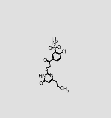 CCCc1cc(=O)[nH]c(SCC(=O)c2ccc(Cl)c(S(N)(=O)=O)c2)n1